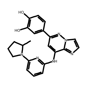 CC1CCCN1c1cccc(Nc2cc(-c3ccc(O)c(O)c3)nn3ccnc23)n1